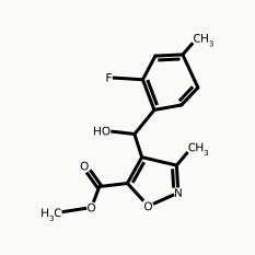 COC(=O)c1onc(C)c1C(O)c1ccc(C)cc1F